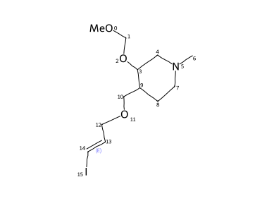 COCOC1CN(C)CCC1COC/C=C/I